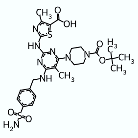 Cc1nc(Nc2nc(NCc3ccc(S(N)(=O)=O)cc3)c(C)c(N3CCN(C(=O)OC(C)(C)C)CC3)n2)sc1C(=O)O